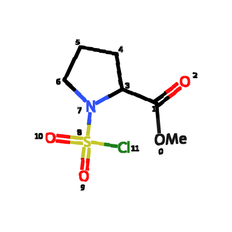 COC(=O)C1CCCN1S(=O)(=O)Cl